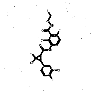 O=C(NCCF)c1c(Cl)ccc(NC(=O)C2C(c3ccc(F)c(Cl)c3)C2(Cl)Cl)c1Cl